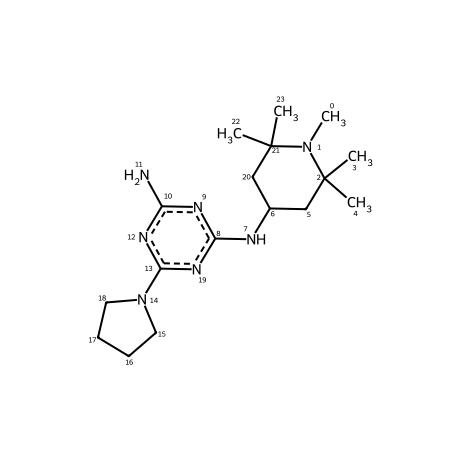 CN1C(C)(C)CC(Nc2nc(N)nc(N3CCCC3)n2)CC1(C)C